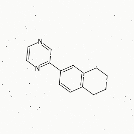 [CH]1CCCc2ccc(-c3cnccn3)cc21